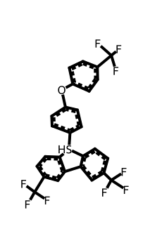 FC(F)(F)c1ccc(Oc2ccc([SH]3c4ccc(C(F)(F)F)cc4-c4cc(C(F)(F)F)ccc43)cc2)cc1